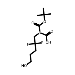 CC(C)(C)OC(=O)N(CC(F)(F)CCCO)C(=O)O